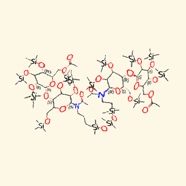 CC(=O)OCC1O[C@H](O[C@H]2C(CO[Si](C)(C)C)O[C@H](N(CCC[Si](C)(C)O[Si](C)(C)O[Si](C)(C)CCN(C(C)=O)[C@@H]3O[C@@H](CO[Si](C)(C)C)[C@@H](O[C@@H]4OC(COC(C)=O)[C@@H](O[Si](C)(C)C)[C@H](O[Si](C)(C)C)C4O[Si](C)(C)C)C(O[Si](C)(C)C)C3O[Si](C)(C)C)C(C)=O)C(O[Si](C)(C)C)C2O[Si](C)(C)C)[C@H](O[Si](C)(C)C)C(O[Si](C)(C)C)[C@@H]1O[Si](C)(C)C